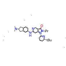 CC(C)n1c(=O)c2cnc(Nc3ccc4c(c3)CC(N(C)C)C4)cc2n1-c1cccc(C(C)(C)C)n1